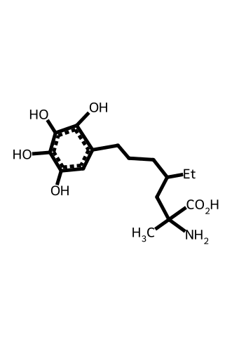 CCC(CCCc1cc(O)c(O)c(O)c1O)CC(C)(N)C(=O)O